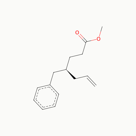 C=CC[C@H](CCC(=O)OC)Cc1ccccc1